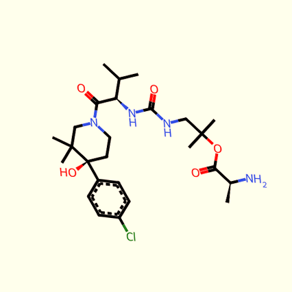 CC(C)[C@@H](NC(=O)NCC(C)(C)OC(=O)[C@H](C)N)C(=O)N1CC[C@](O)(c2ccc(Cl)cc2)C(C)(C)C1